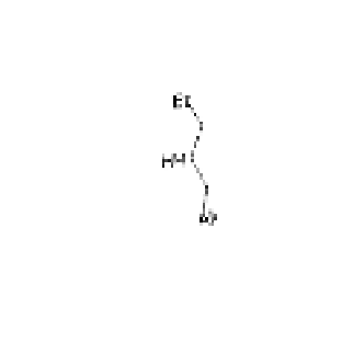 CCCC[CH2][Al].[HH]